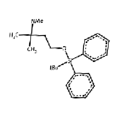 CNC(C)(C)CCO[Si](c1ccccc1)(c1ccccc1)C(C)(C)C